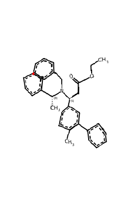 CCOC(=O)C[C@@H](c1ccc(C)c(-c2ccccc2)c1)N(Cc1ccccc1)[C@H](C)c1ccccc1